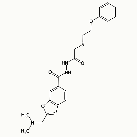 CN(C)Cc1cc2ccc(C(=O)NNC(=O)CSCCOc3ccccc3)cc2o1